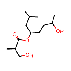 C=C(CO)C(=O)OC(CCC(C)O)CC(C)C